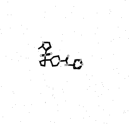 CC1=NCC=C1S(=O)(=O)C1(C2CCN(C(=O)Nc3ccnnc3)CC2)CCC1